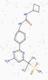 CC(C)(c1cc(N)nc(-c2ccc(NC(=O)NC3CCC3)cc2)n1)S(C)(=O)=O